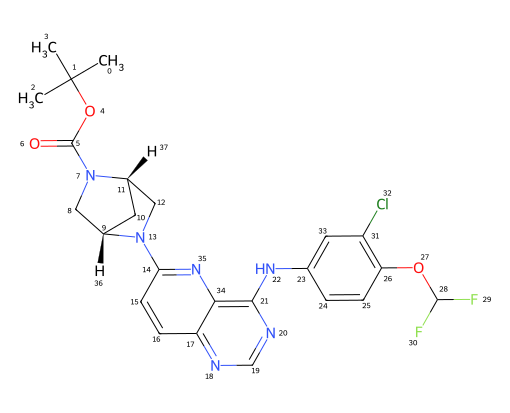 CC(C)(C)OC(=O)N1C[C@@H]2C[C@H]1CN2c1ccc2ncnc(Nc3ccc(OC(F)F)c(Cl)c3)c2n1